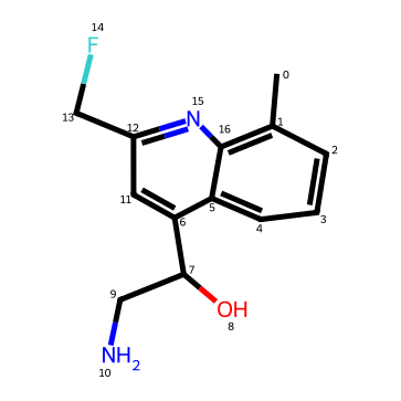 Cc1cccc2c(C(O)CN)cc(CF)nc12